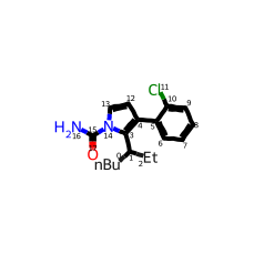 CCCCC(CC)c1c(-c2ccccc2Cl)ccn1C(N)=O